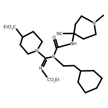 CCOC(=O)N=C(N1CCC(C(=O)OCC)CC1)N(CCC1CCCCC1)C(=O)NC1(C#N)CCN(C)CC1